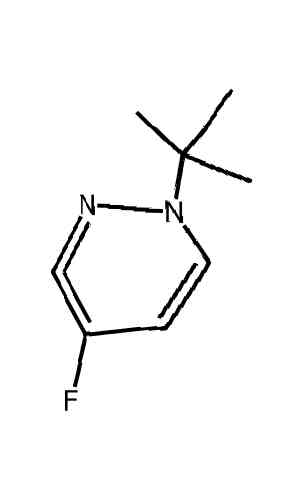 CC(C)(C)N1C=CC(F)=C=N1